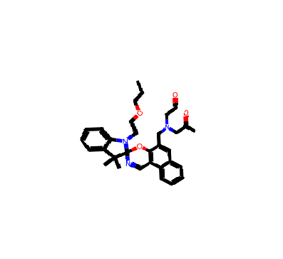 CCCOCCN1c2ccccc2C(C)(C)C12N=Cc1c(c(CN(CC=O)CC(C)=O)cc3ccccc13)O2